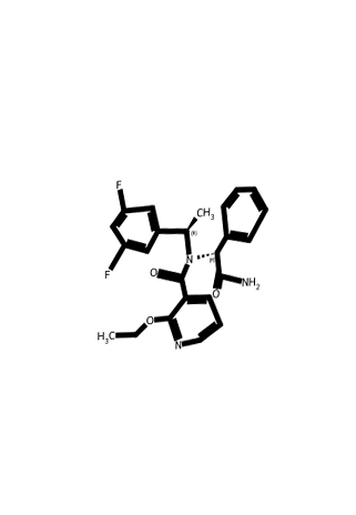 CCOc1ncccc1C(=O)N([C@H](C)c1cc(F)cc(F)c1)[C@@H](C(N)=O)c1ccccc1